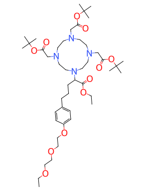 CCOCCOCCOc1ccc(CCCC(C(=O)OCC)N2CCN(CC(=O)OC(C)(C)C)CCN(CC(=O)OC(C)(C)C)CCN(CC(=O)OC(C)(C)C)CC2)cc1